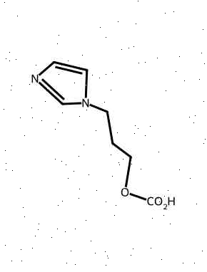 O=C(O)OCCCn1ccnc1